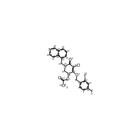 O=C1C(Cl)=C(OCc2ccc(F)cc2F)N(OC(=O)C(F)(F)F)CN1Cc1cccc2cnccc12